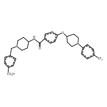 O=C(O)c1ccc(CN2CCC(NC(=O)c3ccc(OC4CCN(c5ccc(C(F)(F)F)cc5)CC4)nc3)CC2)cc1